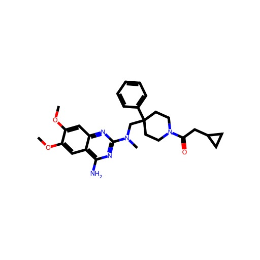 COc1cc2nc(N(C)CC3(c4ccccc4)CCN(C(=O)CC4CC4)CC3)nc(N)c2cc1OC